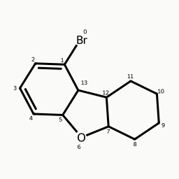 BrC1=CC=CC2OC3CCCCC3C12